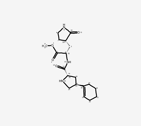 COC(=O)[C@H](C[C@@H]1CCNC1=O)NC(=O)[C@@H]1C[C@@H](C2=CCCCC2)CN1